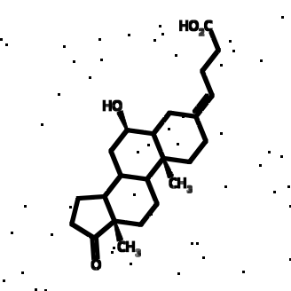 C[C@]12CC/C(=C/CCC(=O)O)CC1[C@H](O)CC1C2CC[C@]2(C)C(=O)CCC12